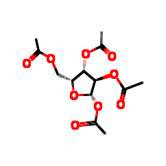 CC(=O)OC[C@H]1O[C@@H](OC(C)=O)[C@H](OC(C)=O)[C@H]1OC(C)=O